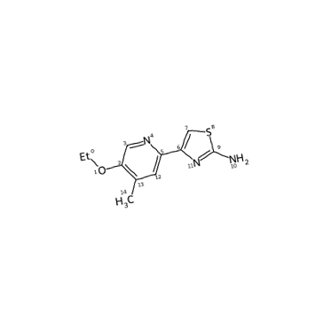 CCOc1cnc(-c2csc(N)n2)cc1C